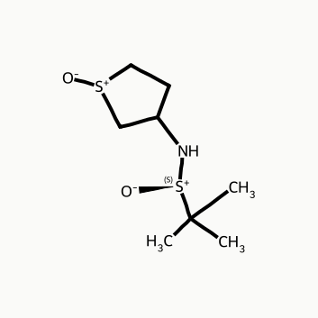 CC(C)(C)[S@@+]([O-])NC1CC[S+]([O-])C1